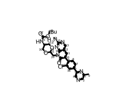 Cc1cncc(-c2ccc(-c3cc4cnc(N)nc4n(CC4OCC(NC(=O)OC(C)(C)C)CO4)c3=O)c(Cl)c2)n1